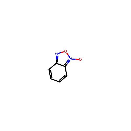 [O-][n+]1onc2[c]cccc21